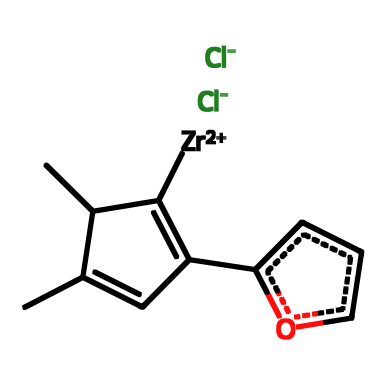 CC1=CC(c2ccco2)=[C]([Zr+2])C1C.[Cl-].[Cl-]